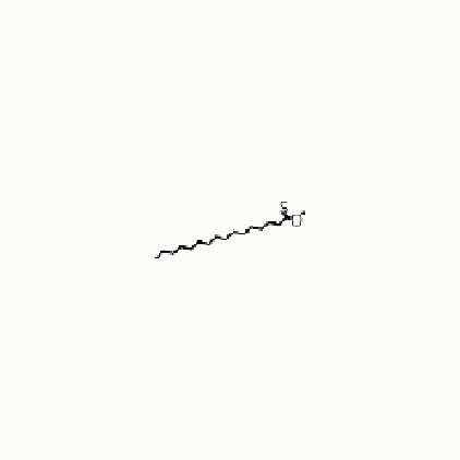 CCCCCCCCCCCCCCCC(=S)OC